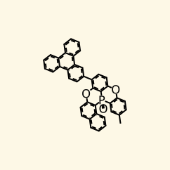 Cc1ccc2c(c1)P1(=O)c3c(ccc(-c4ccc5c6ccccc6c6ccccc6c5c4)c3Oc3ccc4ccccc4c31)O2